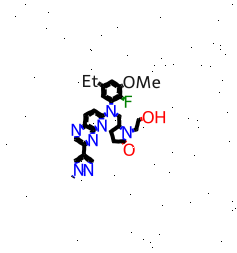 CCc1cc(OC)c(F)c(N(CC2CCC(=O)N2CCO)c2ccc3ncc(-c4cnn(C)c4)nc3n2)c1